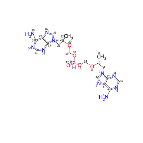 C[C@H](Cn1cnc2c(N)ncnc21)OCO[PH](=O)OCO[C@H](C)Cn1cnc2c(N)ncnc21